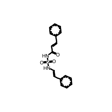 O=C(C=Cc1ccccc1)NS(=O)(=O)NC=Cc1ccccc1